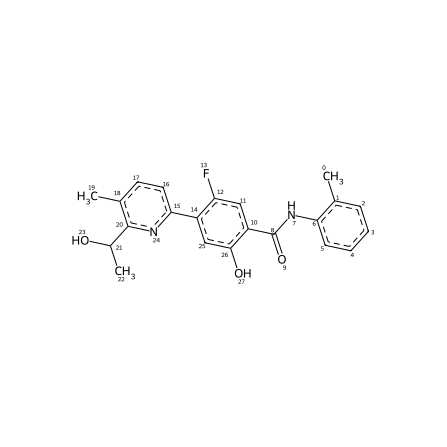 Cc1ccccc1NC(=O)c1cc(F)c(-c2ccc(C)c(C(C)O)n2)cc1O